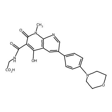 Cn1c(=O)c(C(=O)NCC(=O)O)c(O)c2cc(-c3ccc(N4CCOCC4)cc3)cnc21